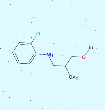 CCOCC(CNc1ccccc1Cl)OC(C)=O